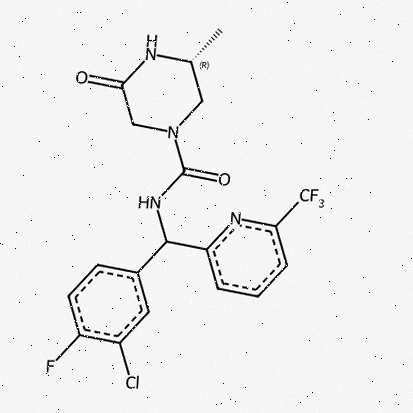 C[C@@H]1CN(C(=O)NC(c2ccc(F)c(Cl)c2)c2cccc(C(F)(F)F)n2)CC(=O)N1